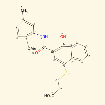 COc1ccc(C)cc1NC(=O)c1cc(SCCC(=O)O)c2ccccc2c1O